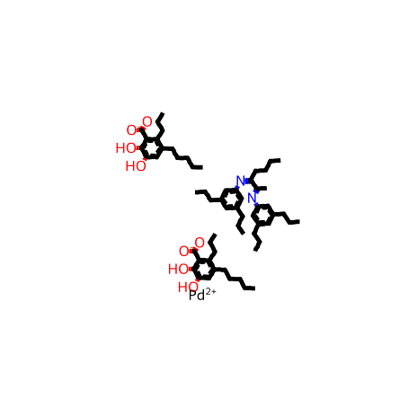 CCCCC(=Nc1cc(CCC)cc(CCC)c1)C(C)=Nc1cc(CCC)cc(CCC)c1.CCCCCc1cc(O)c(O)c(C(=O)[O-])c1CCC.CCCCCc1cc(O)c(O)c(C(=O)[O-])c1CCC.[Pd+2]